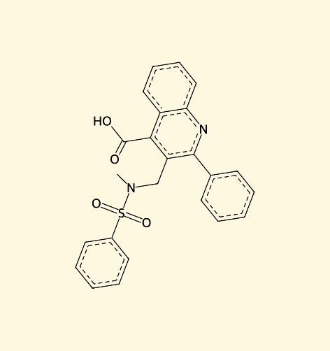 CN(Cc1c(-c2ccccc2)nc2ccccc2c1C(=O)O)S(=O)(=O)c1ccccc1